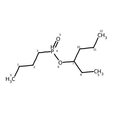 CCCC[PH](=O)OC(CC)CCC